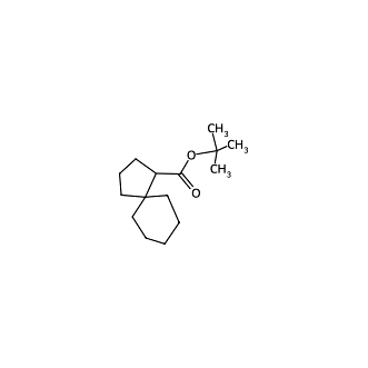 CC(C)(C)OC(=O)C1CCCC12CCCCC2